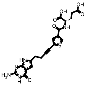 Nc1nc2[nH]c(CCC#Cc3cc(C(=O)N[C@@H](CCC(=O)O)C(=O)O)cs3)cc2c(=O)[nH]1